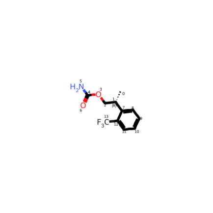 C[C@@H](COC(N)=O)c1ccccc1C(F)(F)F